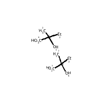 CCC(C)(O)C(=O)O.CCC(C)(O)C(=O)O